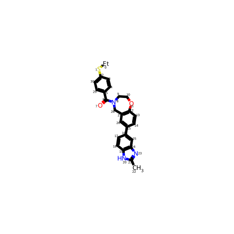 CCSc1ccc(C(=O)N2CCOc3ccc(-c4ccc5[nH]c(C)nc5c4)cc3C2)cc1